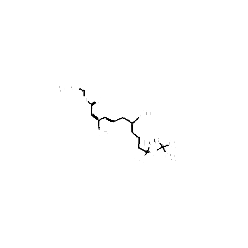 CCOC(=O)C=C(C)C=CCC(C)CCCC(C)(C)OC(C)(C)C